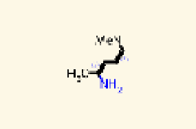 CN/C=C\C=C(\C)N